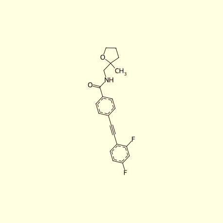 CC1(CNC(=O)c2ccc(C#Cc3ccc(F)cc3F)cc2)CCCO1